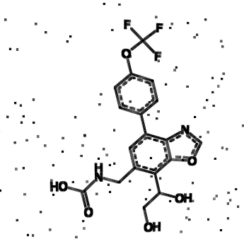 O=C(O)NCc1cc(-c2ccc(OC(F)(F)F)cc2)c2ncoc2c1C(O)CO